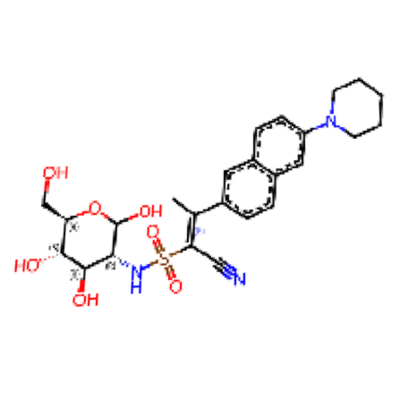 C/C(=C(/C#N)S(=O)(=O)N[C@H]1C(O)O[C@H](CO)[C@@H](O)[C@@H]1O)c1ccc2cc(N3CCCCC3)ccc2c1